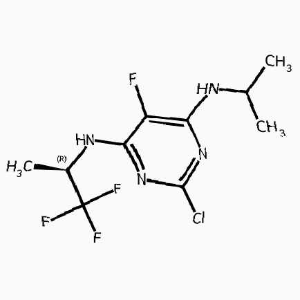 CC(C)Nc1nc(Cl)nc(N[C@H](C)C(F)(F)F)c1F